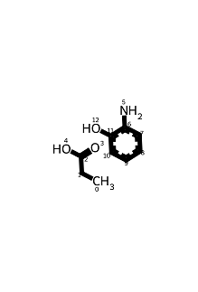 CCC(=O)O.Nc1ccccc1O